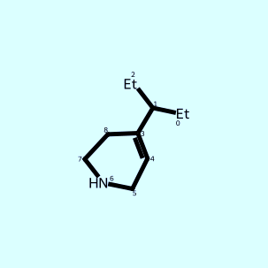 CCC(CC)C1=CCNCC1